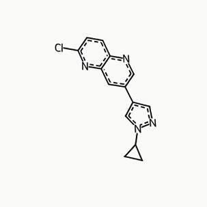 Clc1ccc2ncc(-c3cnn(C4CC4)c3)cc2n1